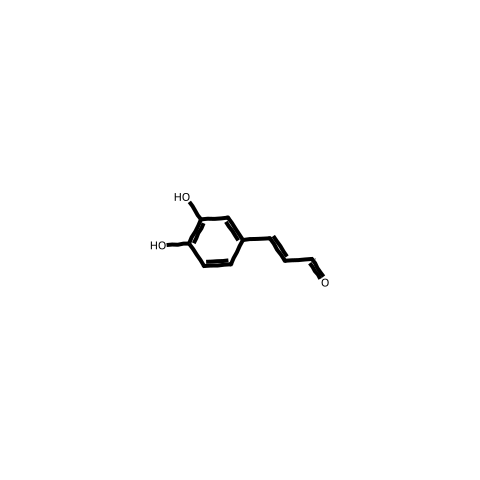 O=[C]/C=C/c1ccc(O)c(O)c1